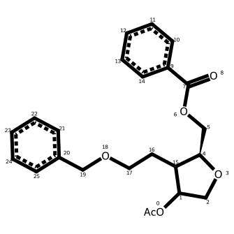 CC(=O)OC1CO[C@H](COC(=O)c2ccccc2)C1CCOCc1ccccc1